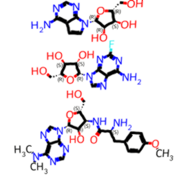 COc1ccc(C[C@H](N)C(=O)N[C@H]2[C@@H](O)[C@H](n3cnc4c(N(C)C)ncnc43)O[C@@H]2CO)cc1.Nc1nc(F)nc2c1ncn2[C@@H]1O[C@H](CO)[C@@H](O)[C@@H]1O.Nc1ncnc2c1ccn2[C@@H]1O[C@H](CO)[C@@H](O)[C@H]1O